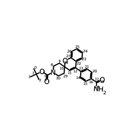 CC(C)(C)OC(=O)N1CCC2(C=C(c3ccc(C(N)=O)cc3)c3ccccc3O2)CC1